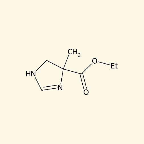 CCOC(=O)C1(C)CNC=N1